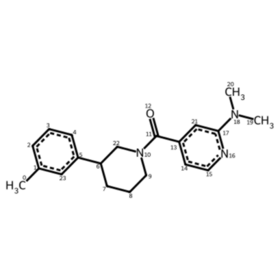 Cc1cccc(C2CCCN(C(=O)c3ccnc(N(C)C)c3)C2)c1